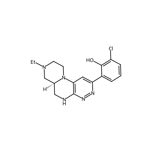 CCN1CCN2c3cc(-c4cccc(Cl)c4O)nnc3NC[C@H]2C1